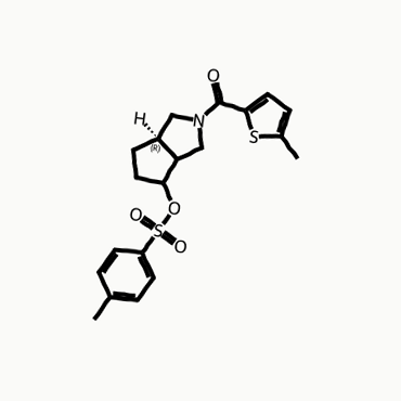 Cc1ccc(S(=O)(=O)OC2CC[C@H]3CN(C(=O)c4ccc(C)s4)CC23)cc1